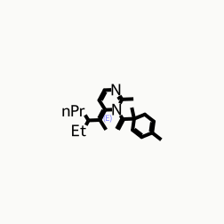 C=C(N1C(C)=NC=C/C1=C(/C)C(CC)CCC)C1(C)C=CC(C)=CC1